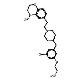 COCCOc1cc(Cl)cc(CC2CCN(CCc3ccc4c(c3)C(C=O)CCO4)CC2)c1